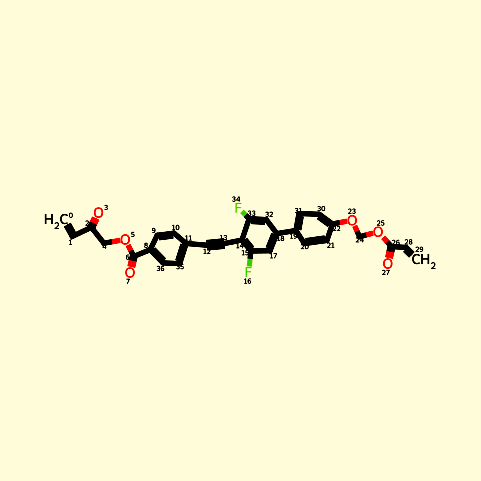 C=CC(=O)COC(=O)c1ccc(C#Cc2c(F)cc(-c3ccc(OCOC(=O)C=C)cc3)cc2F)cc1